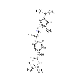 CN(C)c1cc(/C=C/C(=O)c2cnc(NC(=O)OC(C)(C)C)nc2)n(C)n1